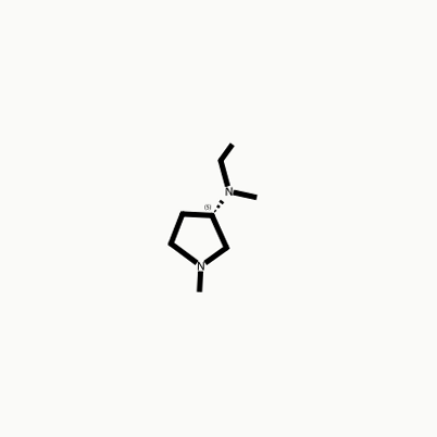 CCN(C)[C@H]1CCN(C)C1